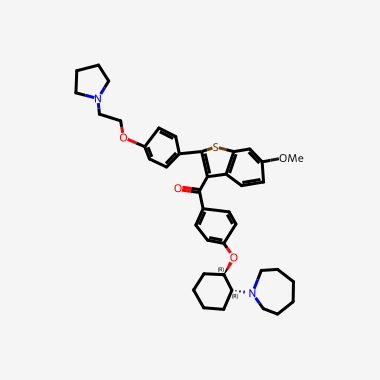 COc1ccc2c(C(=O)c3ccc(O[C@@H]4CCCC[C@H]4N4CCCCCC4)cc3)c(-c3ccc(OCCN4CCCC4)cc3)sc2c1